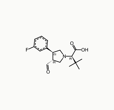 CC(C)(C)[C@H](C(=O)O)N1C[C@H](c2cccc(F)c2)[C@@H](C=O)C1